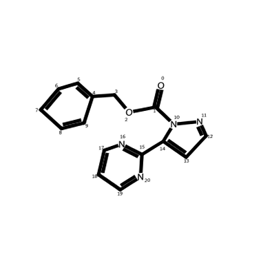 O=C(OCc1ccccc1)n1nccc1-c1ncccn1